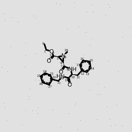 CCOC(=O)[C@@H]1[C@@H](C(=O)N[C@@H](Cc2ccccc2)C(=O)NCc2ccccc2)N1C